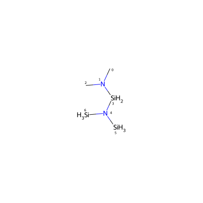 CN(C)[SiH2]N([SiH3])[SiH3]